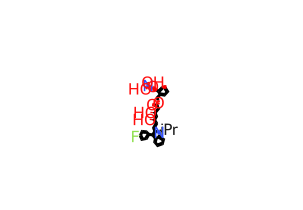 CC(C)n1c(/C=C/[C@@H](O)C[C@@H](O)CC(=O)OCc2ccccc2CON(O)O)c(-c2ccc(F)cc2)c2ccccc21